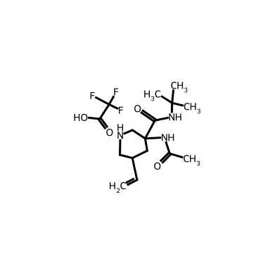 C=CC1CNCC(NC(C)=O)(C(=O)NC(C)(C)C)C1.O=C(O)C(F)(F)F